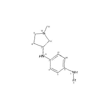 CCNc1ccc(NC2CCN(C)C2)cc1